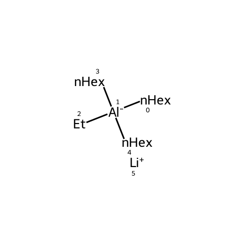 CCCCC[CH2][Al-]([CH2]C)([CH2]CCCCC)[CH2]CCCCC.[Li+]